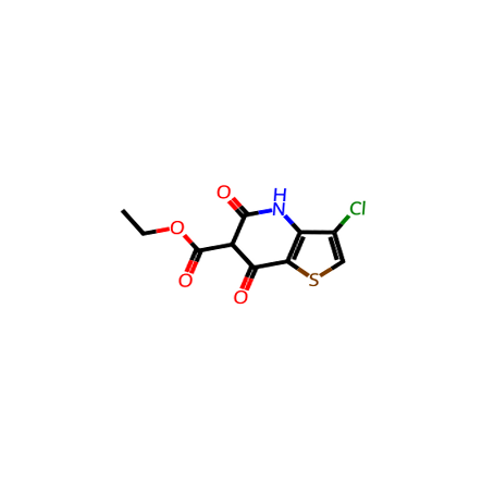 CCOC(=O)C1C(=O)Nc2c(Cl)csc2C1=O